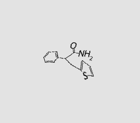 NC(=O)C(Cc1cccs1)c1ccccc1